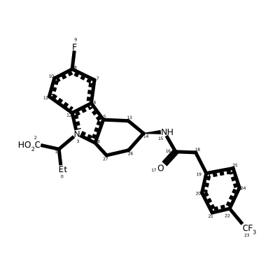 CCC(C(=O)O)n1c2c(c3cc(F)ccc31)C[C@@H](NC(=O)Cc1ccc(C(F)(F)F)cc1)CC2